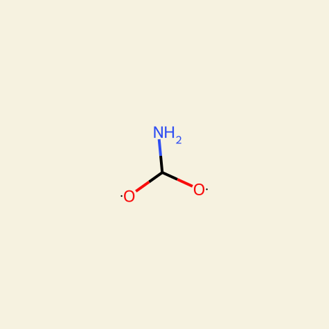 NC([O])[O]